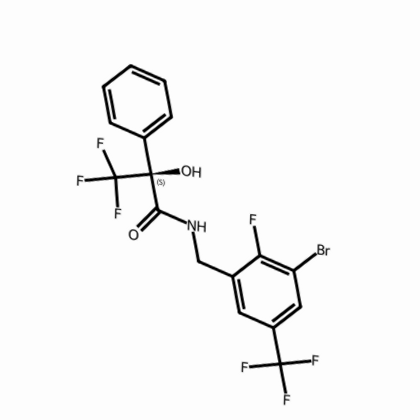 O=C(NCc1cc(C(F)(F)F)cc(Br)c1F)[C@@](O)(c1ccccc1)C(F)(F)F